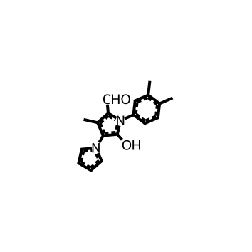 Cc1ccc(-n2c(O)c(-n3cccc3)c(C)c2C=O)cc1C